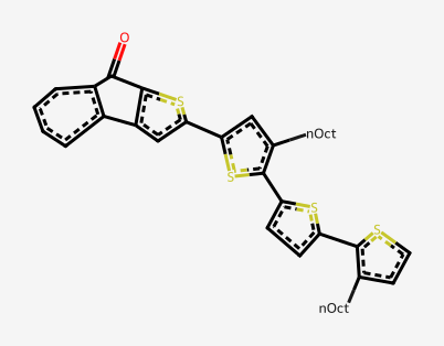 CCCCCCCCc1ccsc1-c1ccc(-c2sc(-c3cc4c(s3)C(=O)c3ccccc3-4)cc2CCCCCCCC)s1